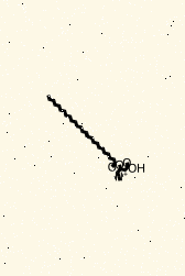 CCCCCCCCCCCCCC/C=C/CCCCCCCCCC(=O)OC(CC(=O)O)C[N+](C)(C)C